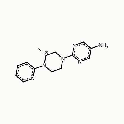 C[C@@H]1CN(c2ncc(N)cn2)CCN1c1ccccn1